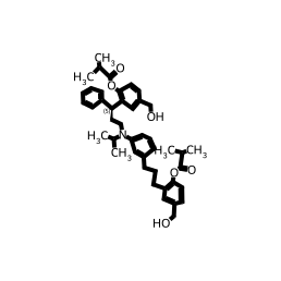 CC(C)C(=O)Oc1ccc(CO)cc1CCCc1cccc(N(CC[C@@H](c2ccccc2)c2cc(CO)ccc2OC(=O)C(C)C)C(C)C)c1